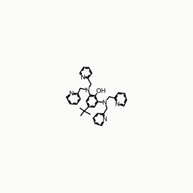 CC(C)(C)c1cc(N(Cc2ccccn2)Cc2ccccn2)c(O)c(N(Cc2ccccn2)Cc2ccccn2)c1